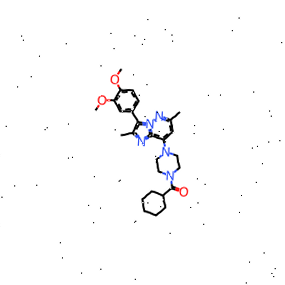 COc1ccc(-c2c(C)nc3c(N4CCN(C(=O)C5CCCCC5)CC4)cc(C)nn23)cc1OC